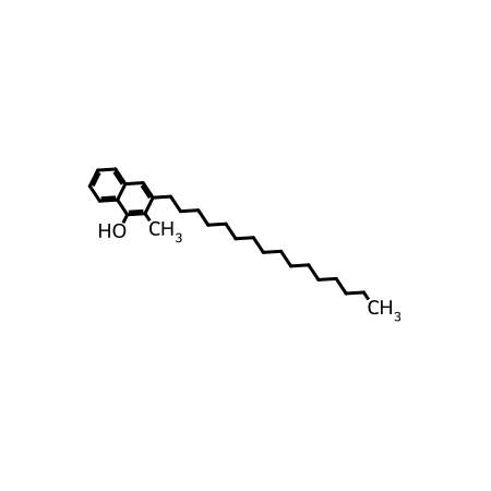 CCCCCCCCCCCCCCCCc1cc2ccccc2c(O)c1C